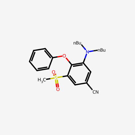 CCCCN(CCCC)c1cc(C#N)cc(S(C)(=O)=O)c1Oc1ccccc1